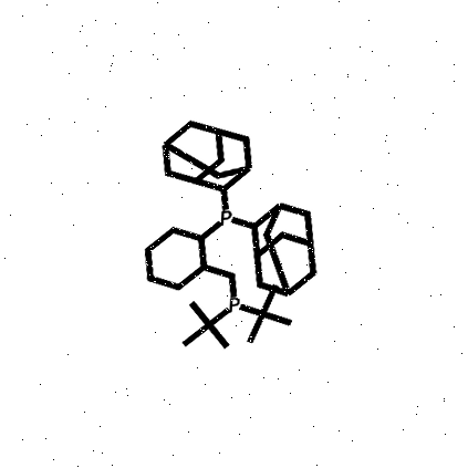 CC(C)(C)P(CC1CCCCC1P(C1C2CC3CC(C2)CC1C3)C1C2CC3CC(C2)CC1C3)C(C)(C)C